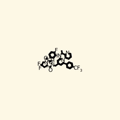 CC(Nc1cc(CNC(=O)[C@@H]2CC(F)(F)CN2S(=O)(=O)c2ccc(F)cc2)cc(-c2ccc(C(F)(F)F)cc2)n1)c1ccccn1